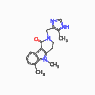 Cc1[nH]cnc1CN1CCc2c(c3cccc(C)c3n2C)C1=O